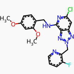 COc1ccc(CNc2nc(Cl)cc3nn(Cc4ncccc4F)nc23)c(OC)c1